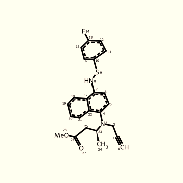 C#CCN(c1ccc(NSc2ccc(F)cc2)c2ccccc12)[C@@H](C)CC(=O)OC